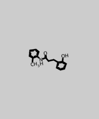 Cc1ccccc1NC(=O)CCc1ccccc1O